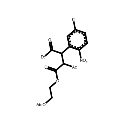 CCC(=O)C(c1cc(Cl)ccc1[N+](=O)[O-])C(C(C)=O)C(=O)OCCOC